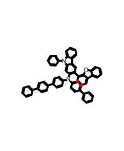 c1ccc(-c2ccc(-c3ccc(N(c4ccc(-c5ccccc5)cc4)c4cc5c(cc4-c4cccc6c4oc4ccccc46)c4ccccc4n5-c4ccccc4)cc3)cc2)cc1